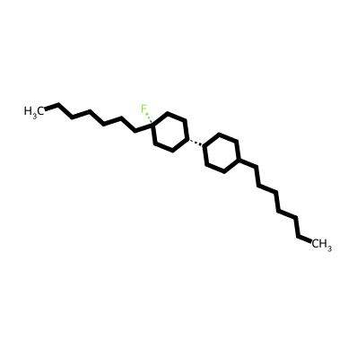 CCCCCCCC1CCC([C@H]2CC[C@](F)(CCCCCCC)CC2)CC1